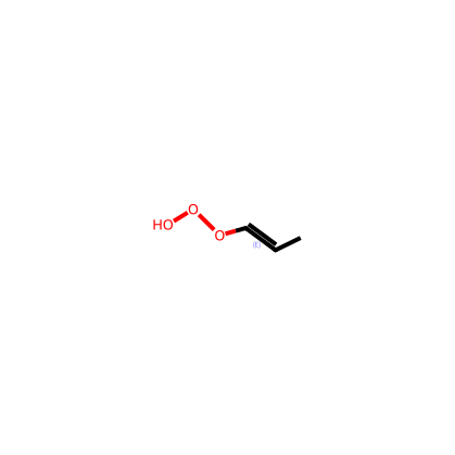 C/C=C/OOO